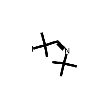 CC(C)(I)/C=N\C(C)(C)C